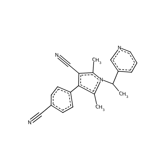 Cc1c(C#N)c(-c2ccc(C#N)cc2)c(C)n1C(C)c1cccnc1